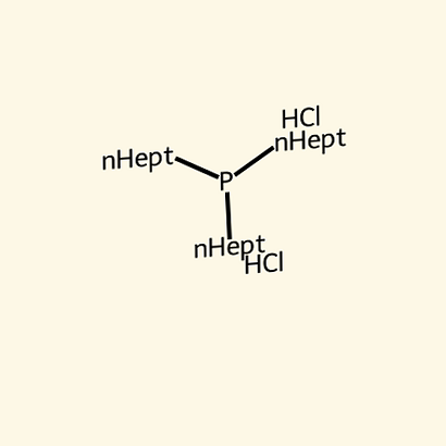 CCCCCCCP(CCCCCCC)CCCCCCC.Cl.Cl